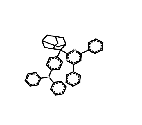 c1ccc(-c2cc(-c3ccccc3)nc(C3(c4ccc(N(c5ccccc5)c5ccccc5)cc4)C4CC5CC(C4)CC3C5)n2)cc1